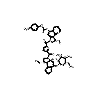 CC(=O)OC[C@H]1O[C@@H](Oc2cc3c(c4ccccc24)[C@H](CCl)CN3C(=O)c2ccc(C(=O)N3C[C@@H](CCl)c4c3cc(OC(=O)Oc3ccc([N+](=O)[O-])cc3)c3ccccc43)s2)[C@H](OC(C)=O)[C@@H](OC(C)=O)[C@H]1OC(C)=O